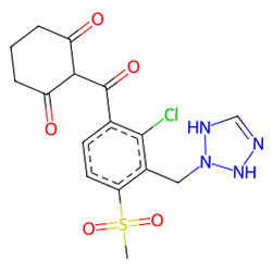 CS(=O)(=O)c1ccc(C(=O)C2C(=O)CCCC2=O)c(Cl)c1CN1NC=NN1